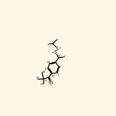 CC(C)SSC(C)c1ccc(C(=O)C(C)(C)C)cc1